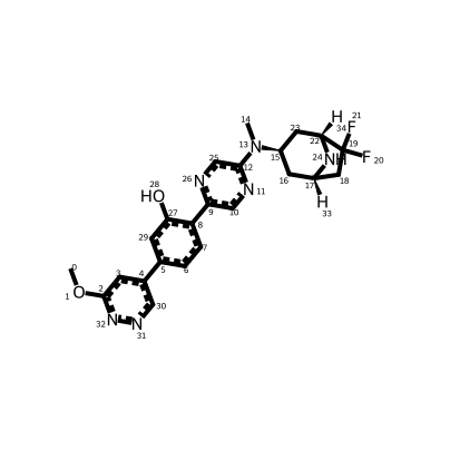 COc1cc(-c2ccc(-c3cnc(N(C)[C@@H]4C[C@H]5CC(F)(F)[C@@H](C4)N5)cn3)c(O)c2)cnn1